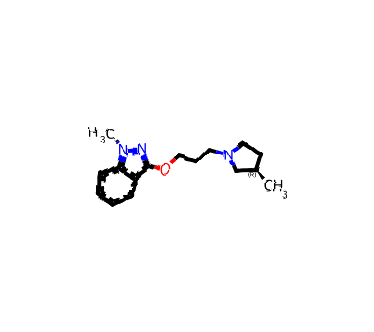 C[C@@H]1CCN(CCCOc2nn(C)c3ccccc23)C1